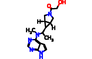 CC([C@H]1[C@@H]2CN(C(=O)CO)C[C@@H]21)N(C)c1ncnc2[nH]ccc12